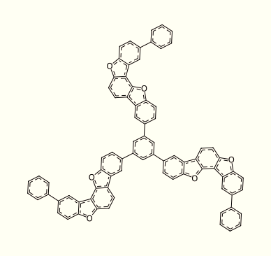 c1ccc(-c2ccc3oc4ccc5c6cc(-c7cc(-c8ccc9oc%10c(ccc%11oc%12ccc(-c%13ccccc%13)cc%12c%11%10)c9c8)cc(-c8ccc9oc%10c(ccc%11oc%12ccc(-c%13ccccc%13)cc%12c%11%10)c9c8)c7)ccc6oc5c4c3c2)cc1